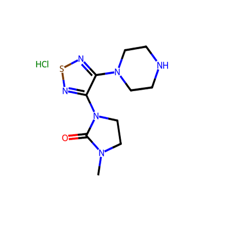 CN1CCN(c2nsnc2N2CCNCC2)C1=O.Cl